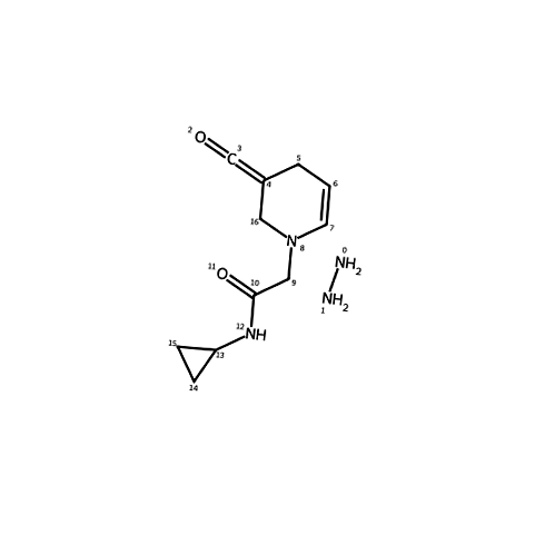 NN.O=C=C1CC=CN(CC(=O)NC2CC2)C1